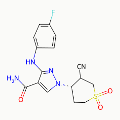 N#CC1CS(=O)(=O)CC[C@@H]1n1cc(C(N)=O)c(Nc2ccc(F)cc2)n1